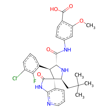 COc1cc(NC(=O)[C@@H]2N[C@@H](CC(C)(C)C)[C@@]3(C(=O)Nc4ncccc43)[C@H]2c2cccc(Cl)c2F)ccc1C(=O)O